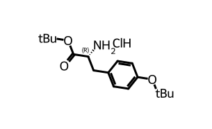 CC(C)(C)OC(=O)[C@H](N)Cc1ccc(OC(C)(C)C)cc1.Cl